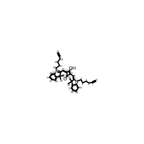 C#CCCCCN1/C(=C/C2=C(O)C(=C/C3=[N+](CCCCC#C)c4ccccc4C3(C)C)/C2=O)C(C)(C)c2ccccc21